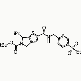 CCS(=O)(=O)c1ccc(CNC(=O)c2cc3c(s2)C(C(C)C)N(C(=O)OC(C)(C)C)C3)nc1